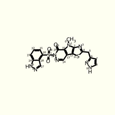 Cn1c2nc(Cc3cc[nH]n3)sc2c2cnn(S(=O)(=O)c3cccc4[nH]ncc34)c(=O)c21